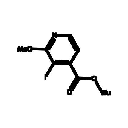 COc1nccc(C(=O)OC(C)(C)C)c1I